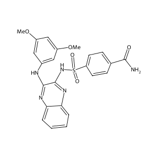 COc1cc(Nc2nc3ccccc3nc2NS(=O)(=O)c2ccc(C(N)=O)cc2)cc(OC)c1